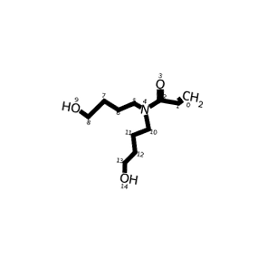 C=CC(=O)N(CCCCO)CCCCO